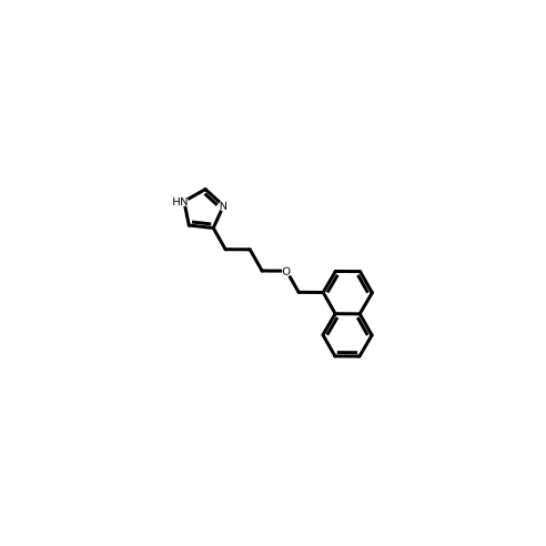 c1ccc2c(COCCCc3c[nH]cn3)cccc2c1